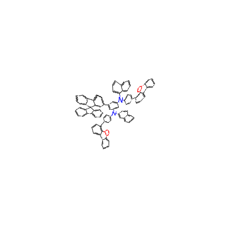 c1ccc2c(c1)-c1ccccc1C21c2ccccc2-c2ccc(-c3cc(N(c4ccc(-c5cccc6c5oc5ccccc56)cc4)c4ccc5ccccc5c4)cc(N(c4ccc(-c5cccc6c5oc5ccccc56)cc4)c4cccc5ccccc45)c3)cc21